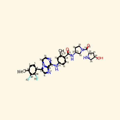 COc1ccc(-c2cnc3c(Nc4ccc(C(=O)N[C@H]5CCN(C(=O)[C@@H]6C[C@@H](O)CN6)C5)c(C)c4)nccn23)c(F)c1F